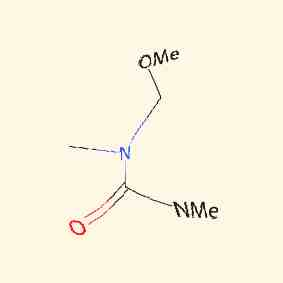 CNC(=O)N(C)COC